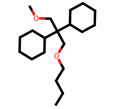 CCCCOCC(COC)(C1CCCCC1)C1CCCCC1